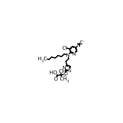 [C-]#[N+]c1cnc(N(CCCCCCC)CCc2csc(SC(C)(C)C(=O)O)n2)c(Cl)c1